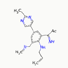 C=CCNc1c(CN=C)cc(-c2cnc(C)nc2)cc1C(=N)C(C)=O